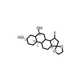 C[C@]12CC[C@H](O)CC1[C@@H](O)CC1C2CC[C@@]2(C)C1C(F)CC21OCCO1